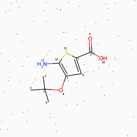 CC(C)(C)Oc1cc(C(=O)O)sc1N